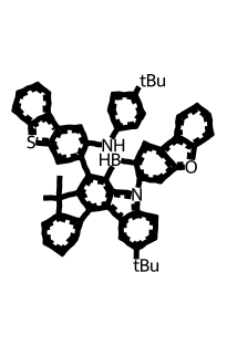 CC(C)(C)c1ccc(Nc2cc3c(cc2-c2c4c(c5c6cc(C(C)(C)C)ccc6n6c5c2Bc2cc5c(cc2-6)oc2ccccc25)-c2ccccc2C4(C)C)sc2ccccc23)cc1